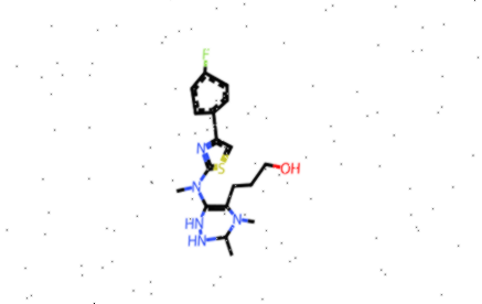 CC1NNC(N(C)c2nc(-c3ccc(F)cc3)cs2)=C(CCCO)N1C